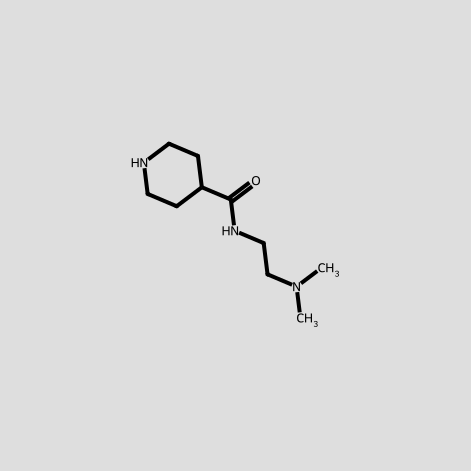 CN(C)CCNC(=O)C1CCNCC1